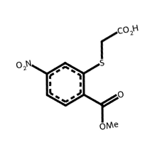 COC(=O)c1ccc([N+](=O)[O-])cc1SCC(=O)O